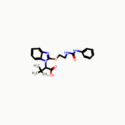 CC(C)(C)C(C(=O)O)n1c(SCCNC(=O)Nc2ccccc2)nc2ccccc21